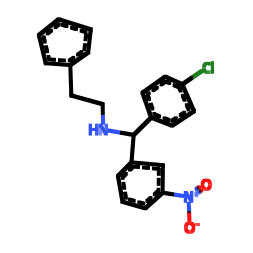 O=[N+]([O-])c1cccc(C(NCCc2ccccc2)c2ccc(Cl)cc2)c1